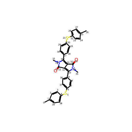 Cc1ccc(Sc2ccc(C3=C4C(=O)N(C)C(c5ccc(Sc6ccc(C)cc6)cc5)=C4C(=O)N3C)cc2)cc1